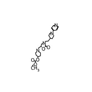 CCOC(=O)OC1CCN(CC2CN(CCC3CCN(c4ccncc4)CC3)C(=O)O2)CC1